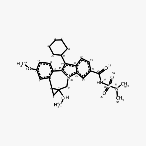 CNC12CC1c1cc(OC)ccc1-c1c(C3CCCCC3)c3ccc(C(=O)NS(=O)(=O)N(C)C)cc3n1C2